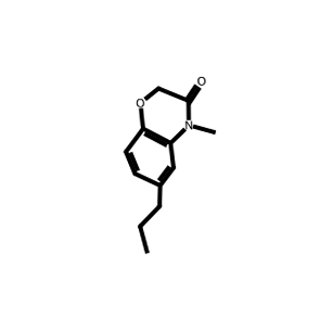 CCCc1ccc2c(c1)N(C)C(=O)CO2